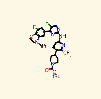 CC(C)N1CCOc2c(F)cc(-c3nc(Nc4ccc(C5CCN(C(=O)OC(C)(C)C)CC5)c(C(F)(F)F)n4)ncc3F)cc21